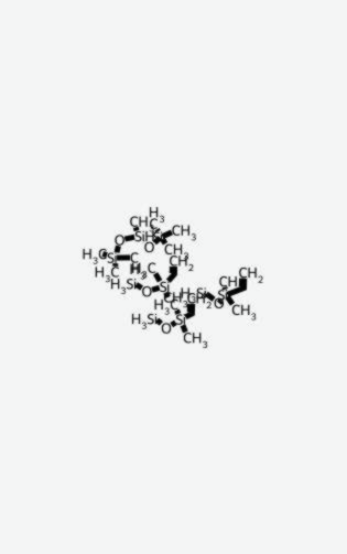 C=C[Si](C)(C)O[SiH3].C=C[Si](C)(C)O[SiH3].C=C[Si](C)(C)O[SiH3].C[SiH](O[Si](C)(C)C)O[Si](C)(C)C